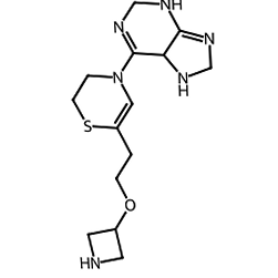 C1=C(CCOC2CNC2)SCCN1C1=NCNC2=NCNC21